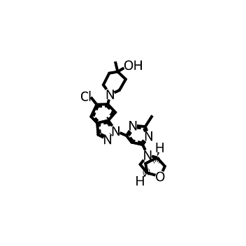 Cc1nc(N2C[C@H]3C[C@@H]2CO3)cc(-n2ncc3cc(Cl)c(N4CCC(C)(O)CC4)cc32)n1